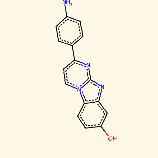 Nc1ccc(-c2ccn3c(n2)nc2cc(O)ccc23)cc1